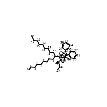 CCCCCCCCCC(CCCCCCCCC)C(O[Si](c1ccccc1)(c1ccccc1)C(C)(C)C)C(=O)OCC